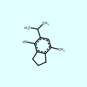 Cc1cc(C(C)C)c(S)c2c1CCC2